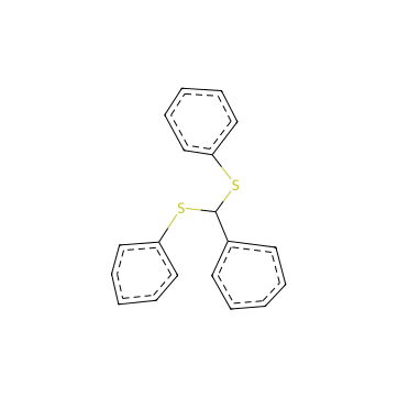 c1ccc(SC(Sc2ccccc2)c2ccccc2)cc1